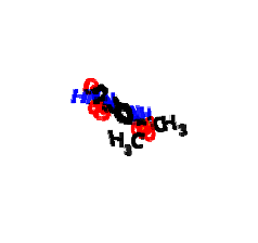 CCOP(=O)(CC(=O)Nc1ccc2c(c1)CN(C1CCC(=O)NC1=O)C2=O)OCC